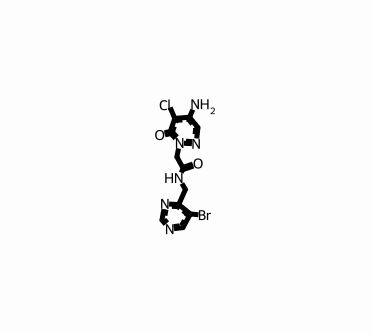 Nc1cnn(CC(=O)NCc2ncncc2Br)c(=O)c1Cl